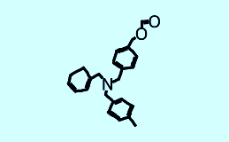 Cc1ccc(CN(CC2=CC=CCC2)Cc2ccc(COC=O)cc2)cc1